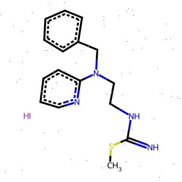 CSC(=N)NCCN(Cc1ccccc1)c1ccccn1.I